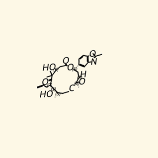 C=CC[C@H]1C(=O)C(C)(C)[C@@H](O)CC(=O)O[C@H](c2ccc3oc(C)nc3c2)C[C@H]2O[C@@]2(C)CCC[C@H](C)[C@@H]1O